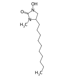 CCCCCCCCCCC1CN(O)C(=O)N1C